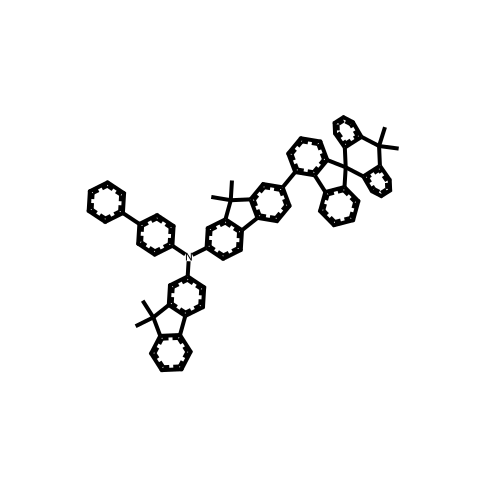 CC1(C)c2ccccc2-c2ccc(N(c3ccc(-c4ccccc4)cc3)c3ccc4c(c3)C(C)(C)c3cc(-c5cccc6c5-c5ccccc5C65c6ccccc6C(C)(C)c6ccccc65)ccc3-4)cc21